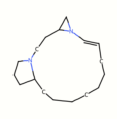 [CH]1CC2CCCCCCC/C=C/N3CC3CCN2C1